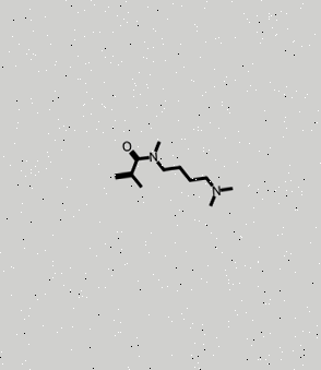 C=C(C)C(=O)N(C)CCCCN(C)C